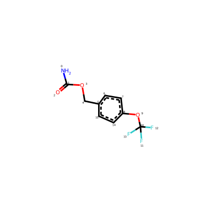 NC(=O)OCc1ccc(OC(F)(F)F)cc1